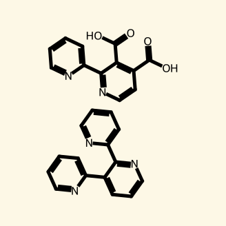 O=C(O)c1ccnc(-c2ccccn2)c1C(=O)O.c1ccc(-c2cccnc2-c2ccccn2)nc1